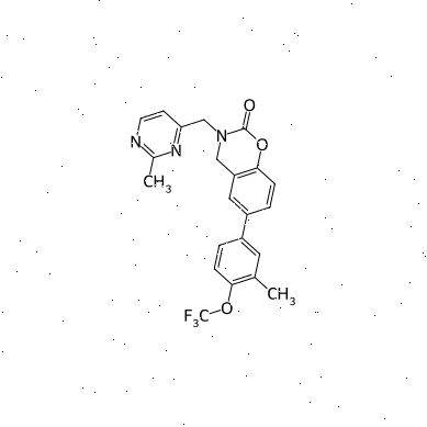 Cc1nccc(CN2Cc3cc(-c4ccc(OC(F)(F)F)c(C)c4)ccc3OC2=O)n1